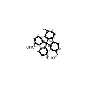 Cc1ccc2c(c1)C(c1cccc(C=O)c1)(c1cccc(C=O)c1)c1cc(C)ccc1-2